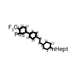 CCCCCCCC1CCC(CCc2ccc(-c3ccc(C(F)(F)F)c(F)c3)cc2)CC1